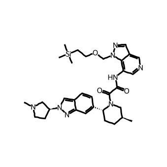 C[C@H]1CC[C@H](c2ccc3cn([C@H]4CCN(C)C4)nc3c2)N(C(=O)C(=O)Nc2cncc3cnn(COCC[Si](C)(C)C)c23)C1